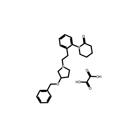 O=C(O)C(=O)O.O=C1CCCCN1c1ccccc1CCN1CCC(OCc2ccccc2)C1